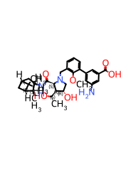 COc1c(CN2C[C@H](O)[C@@H]([C@H](C)O)[C@H]2C(=O)N[C@H]2C[C@H]3C[C@@H]([C@@H]2C)C3(C)C)cccc1-c1cc(N)cc(C(=O)O)c1